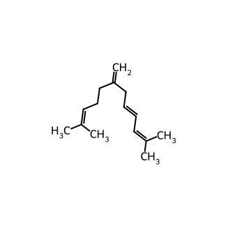 C=C(CC=CC=C(C)C)CCC=C(C)C